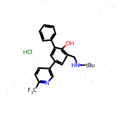 CC(C)(C)NCc1cc(-c2ccc(C(F)(F)F)nc2)cc(-c2ccccc2)c1O.Cl